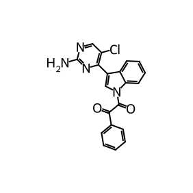 Nc1ncc(Cl)c(-c2cn(C(=O)C(=O)c3ccccc3)c3ccccc23)n1